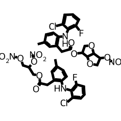 Cc1ccc(Nc2c(F)cccc2Cl)c(CC(=O)OC2COC3C(O[N+](=O)[O-])COC23)c1.Cc1ccc(Nc2c(F)cccc2Cl)c(CC(=O)OCC(CO[N+](=O)[O-])O[N+](=O)[O-])c1